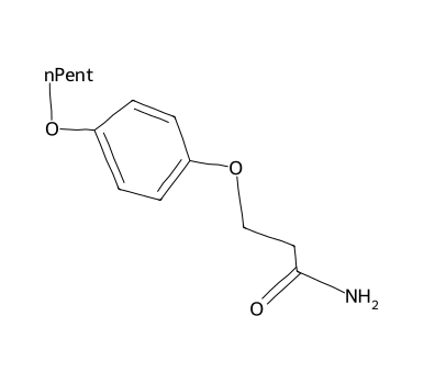 CCCCCOc1ccc(OCCC(N)=O)cc1